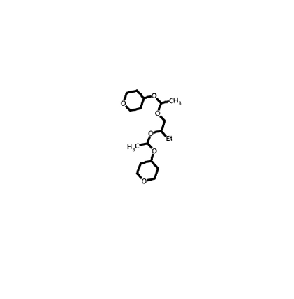 CCC(COC(C)OC1CCOCC1)OC(C)OC1CCOCC1